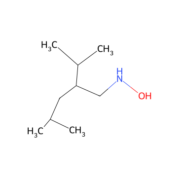 CC(C)CC(CNO)C(C)C